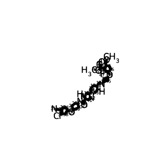 COC(=O)c1ccc(O[C@H]2C[C@H](NCC3CCN(c4cnc(C(=O)N[C@H]5CC[C@H](Oc6ccc(C#N)c(Cl)c6)CC5)cn4)CC3)C2)c(F)c1C(=O)OC